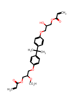 C=CC(=O)OCC(O)COc1ccc(C(C)(C)c2ccc(OCC(COC(=O)C=C)OC(=O)O)cc2)cc1